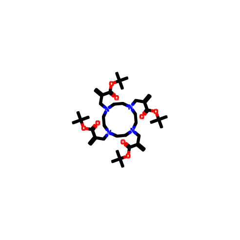 C=C(CN1CCN(CC(=C)C(=O)OC(C)(C)C)CCN(CC(=C)C(=O)OC(C)(C)C)CCN(CC(=C)C(=O)OC(C)(C)C)CC1)C(=O)OC(C)(C)C